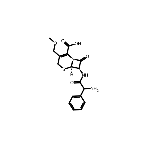 COCC1=C(C(=O)O)N2C(=O)[C@@H](NC(=O)C(N)c3ccccc3)[C@H]2SC1